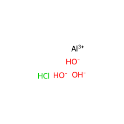 Cl.[Al+3].[OH-].[OH-].[OH-]